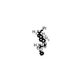 CC(C)CCCC(C)C1CCC2C3CC=C4CC(OC(=O)OCC(N)C(=O)OCc5ccccc5)CCC4(C)C3CCC12C